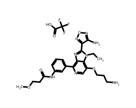 CCn1c(-c2nonc2N)nc2c(-c3cccc(NC(=O)CCOC)c3)ncc(OCCCN)c21.O=C(O)C(F)(F)F